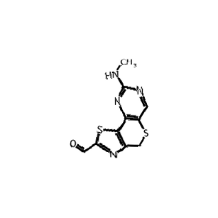 CNc1ncc2c(n1)-c1sc(C=O)nc1CS2